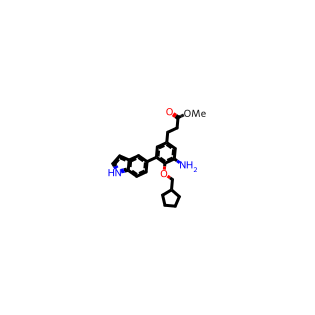 COC(=O)CCc1cc(N)c(OCC2CCCC2)c(-c2ccc3[nH]ccc3c2)c1